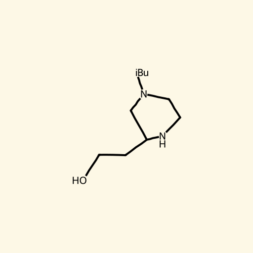 CCC(C)N1CCNC(CCO)C1